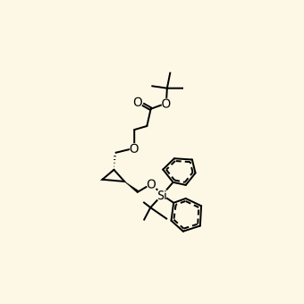 CC(C)(C)OC(=O)CCOC[C@H]1C[C@@H]1CO[Si](c1ccccc1)(c1ccccc1)C(C)(C)C